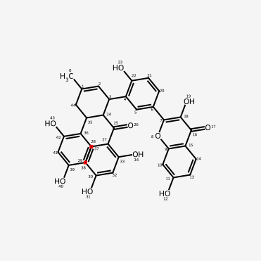 CC1=CC(c2cc(-c3oc4cc(O)ccc4c(=O)c3O)ccc2O)C(C(=O)c2ccc(O)cc2O)C(c2ccc(O)cc2O)C1